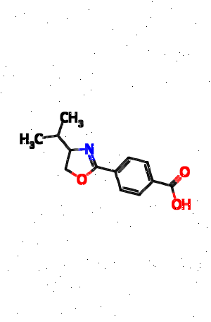 CC(C)C1COC(c2ccc(C(=O)O)cc2)=N1